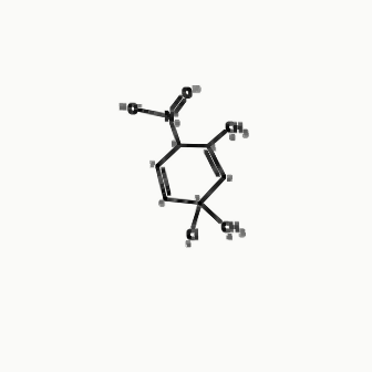 CC1=CC(C)(Cl)C=CC1[N+](=O)[O-]